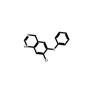 Clc1cc2c(cc1Sc1ccccc1)[CH]N=CN2